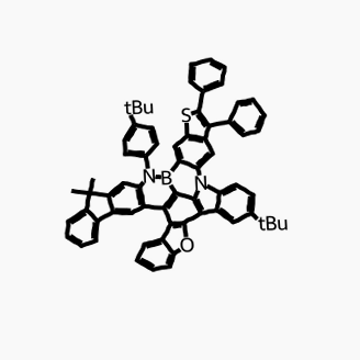 CC(C)(C)c1ccc(N2B3c4cc5sc(-c6ccccc6)c(-c6ccccc6)c5cc4-n4c5ccc(C(C)(C)C)cc5c5c6oc7ccccc7c6c(c3c54)-c3cc4c(cc32)C(C)(C)c2ccccc2-4)cc1